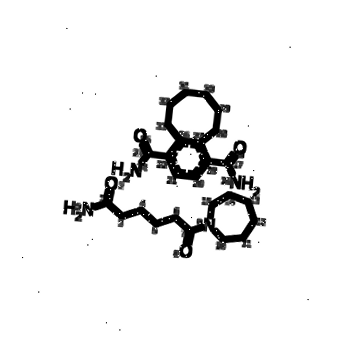 NC(=O)CCCCC(=O)N1CCCCCC1.NC(=O)c1ccc(C(N)=O)c2c1CCCCCC2